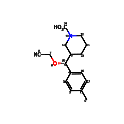 Cc1ccc([C@H](OCC#N)C2CCCN(C(=O)O)C2)cc1